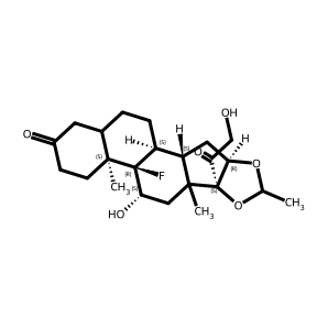 CC1O[C@@H]2C[C@H]3[C@@H]4CCC5CC(=O)CC[C@]5(C)[C@@]4(F)[C@@H](O)CC3(C)[C@]2(C(=O)CO)O1